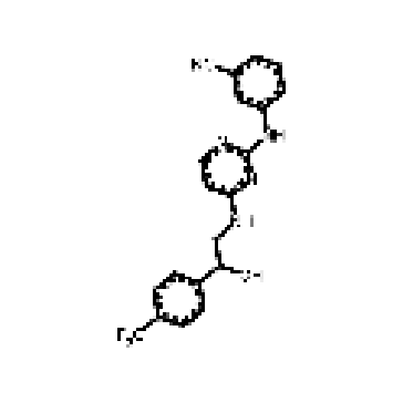 N#Cc1cccc(Nc2nccc(NCC(O)c3ccc(C(F)(F)F)cc3)n2)c1